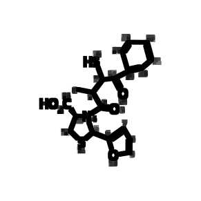 CC(C(=O)N1C(c2ccco2)SC[C@H]1C(=O)O)C(S)C(=O)c1ccccc1